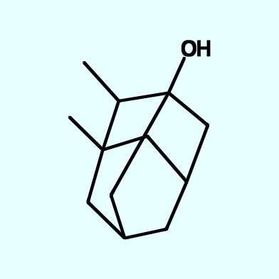 CC1C2(C)CC3CC(C2)CC1(O)C3